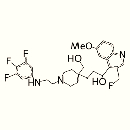 COc1ccc2ncc(CF)c([C@@H](O)CCC3(CO)CCN(CCNc4cc(F)c(F)c(F)c4)CC3)c2c1